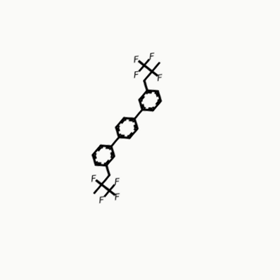 CC(F)(Cc1cccc(-c2ccc(-c3cccc(CC(C)(F)C(F)(F)F)c3)cc2)c1)C(F)(F)F